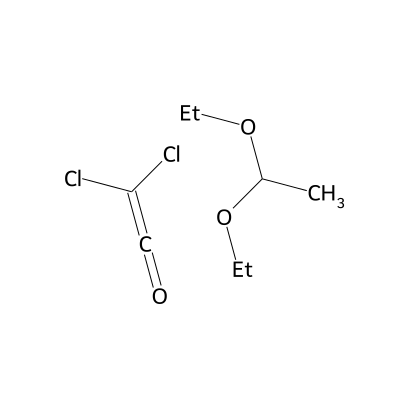 CCOC(C)OCC.O=C=C(Cl)Cl